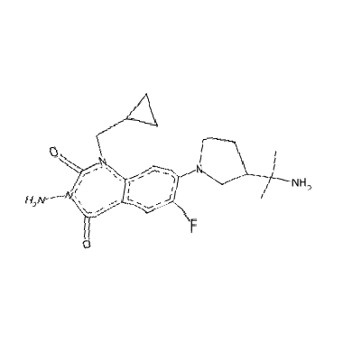 CC(C)(N)C1CCN(c2cc3c(cc2F)c(=O)n(N)c(=O)n3CC2CC2)C1